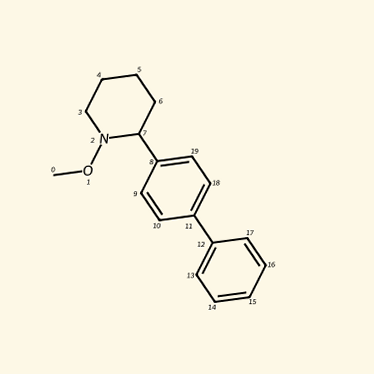 CON1CCCCC1c1ccc(-c2ccccc2)cc1